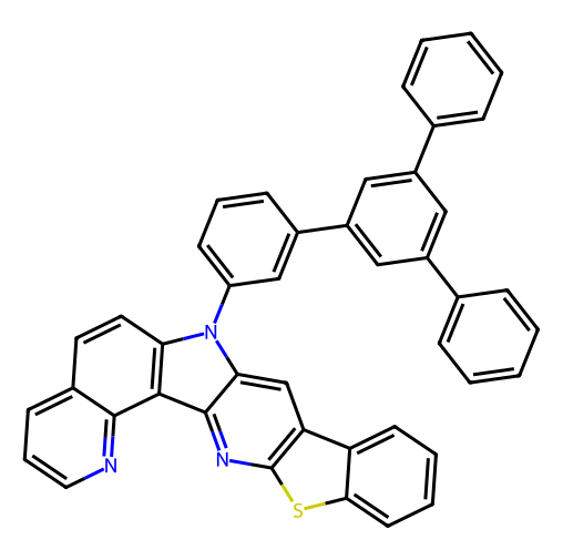 c1ccc(-c2cc(-c3ccccc3)cc(-c3cccc(-n4c5cc6c(nc5c5c7ncccc7ccc54)sc4ccccc46)c3)c2)cc1